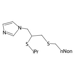 CCCCCCCCCCSCC(Cn1ccnc1)SC(C)C